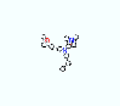 c1ccc(-c2cccc(-c3ccc(N(c4ccc(-c5ccc(-c6cccc7c6oc6ccccc67)cc5)cc4)c4cccc(-c5ccccc5-n5c6ccccc6c6ccccc65)c4)cc3)c2)cc1